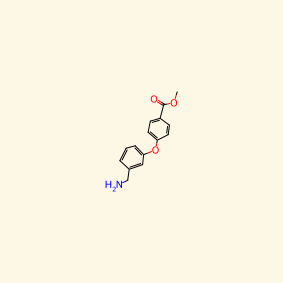 COC(=O)c1ccc(Oc2cccc(CN)c2)cc1